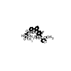 COc1cc(-c2cccc(-c3cccc(NC(=O)c4c[nH]c(=O)n(C)c4=O)c3C)c2Cl)cc(F)c1CN[C@H]1CCOC[C@H]1OC